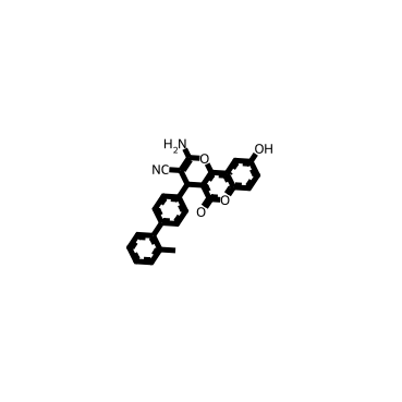 Cc1ccccc1-c1ccc(C2C(C#N)=C(N)Oc3c2c(=O)oc2ccc(O)cc32)cc1